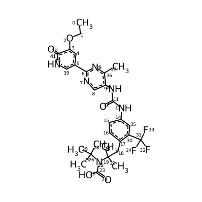 CCOc1cc(-c2ncc(NC(=O)Nc3ccc(CC(C)(C)N(C(=O)O)C(C)(C)C)c(C(F)(F)F)c3)c(C)n2)c[nH]c1=O